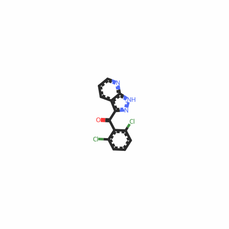 O=C(c1c(Cl)cccc1Cl)c1n[nH]c2ncccc12